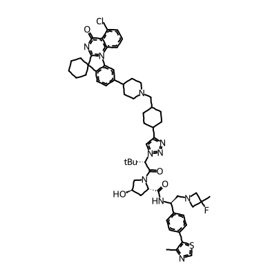 Cc1ncsc1-c1ccc([C@H](CN2CC(C)(F)C2)NC(=O)[C@@H]2C[C@@H](O)CN2C(=O)[C@@H](n2cc(C3CCC(CN4CCC(c5ccc6c(c5)-n5c(nc(=O)c7c(Cl)cccc75)C65CCCCC5)CC4)CC3)nn2)C(C)(C)C)cc1